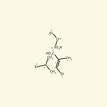 CC/C=C(\C)C(=O)O.CCN(C)C.CCOS(=O)(=O)O